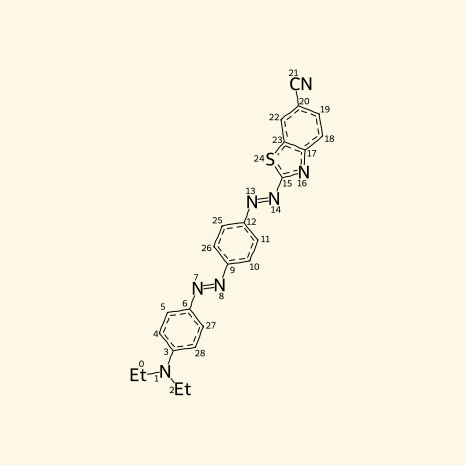 CCN(CC)c1ccc(N=Nc2ccc(N=Nc3nc4ccc(C#N)cc4s3)cc2)cc1